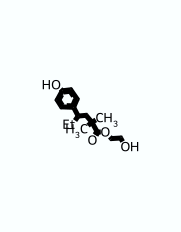 CCC(CC(C)(C)C(=O)OCCO)c1ccc(O)cc1